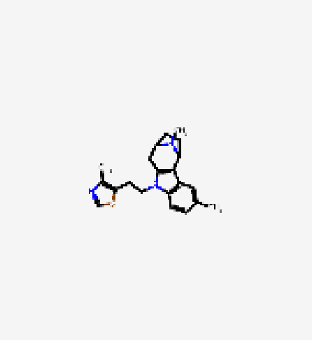 Cc1ccc2c(c1)c1c(n2CCc2scnc2C)CC2CCC1N2C